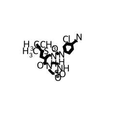 CC(C)(C)c1cc(C(=O)N2CCNS(=O)(=O)CC2)c(NC(=O)Nc2ccc(C#N)c(Cl)c2)s1